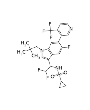 CC(C)(C)Cn1cc(C(NS(=O)(=O)C2CC2)C(F)F)c2cc(F)c(-c3cnccc3C(F)(F)F)cc21